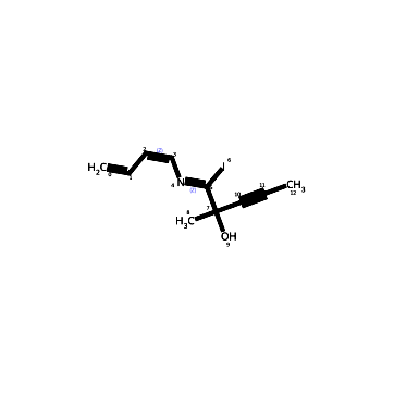 C=C/C=C\N=C(/I)C(C)(O)C#CC